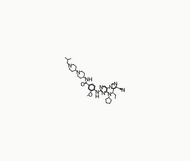 CC[C@@H]1c2c(C#N)ncn2-c2cnc(Nc3ccc(C(=O)NC4CCN(C5CCN(CC(C)C)CC5)CC4)cc3OC)nc2N1C1CCCC1